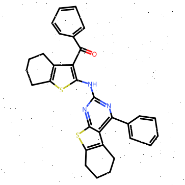 O=C(c1ccccc1)c1c(Nc2nc(-c3ccccc3)c3c4c(sc3n2)CCCC4)sc2c1CCCC2